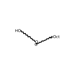 CCCCCCCCC=CCCCCCCCCCC(=O)OCCCCCCCCCCCCCCO